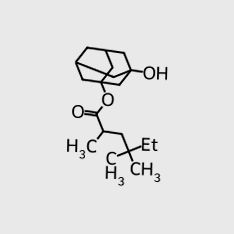 CCC(C)(C)CC(C)C(=O)OC12CC3CC(CC(O)(C3)C1)C2